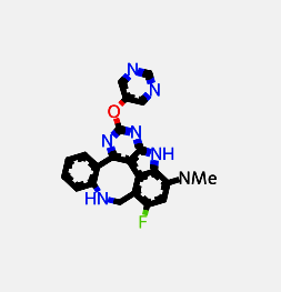 CNc1cc(F)c2c3c1[nH]c1nc(Oc4cncnc4)nc(c13)-c1ccccc1NC2